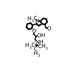 Cn1c(-c2ccccc2OCC(O)CNC(C)(C)C)cc2c(C=O)cccc21